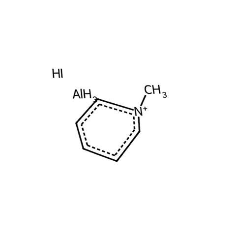 C[n+]1ccccc1.I.[AlH3]